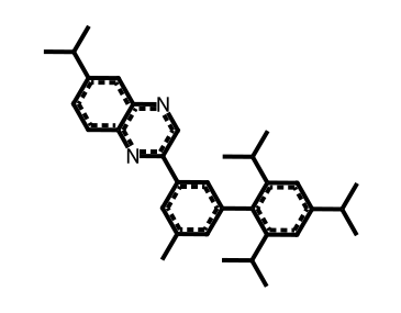 Cc1cc(-c2cnc3cc(C(C)C)ccc3n2)cc(-c2c(C(C)C)cc(C(C)C)cc2C(C)C)c1